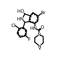 CN1CCN(C(=O)Nc2cc(Br)cc3c2C(c2cc(F)ccc2Cl)NC3O)CC1